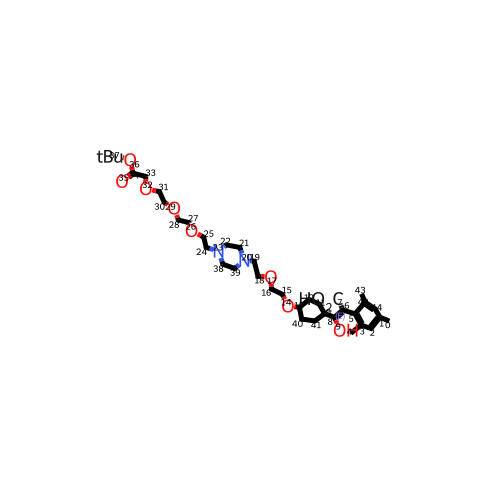 Cc1cc(C)c(/C(C(=O)O)=C(\O)C2CCC(OCCOCCN3CCN(CCOCCOCCOCC(=O)OC(C)(C)C)CC3)CC2)c(C)c1